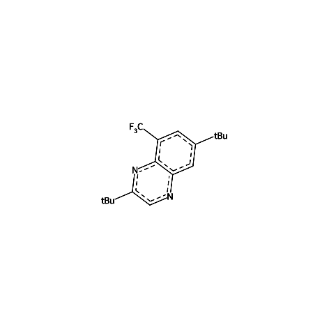 CC(C)(C)c1cc(C(F)(F)F)c2nc(C(C)(C)C)cnc2c1